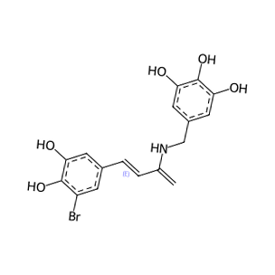 C=C(/C=C/c1cc(O)c(O)c(Br)c1)NCc1cc(O)c(O)c(O)c1